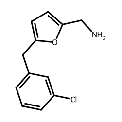 NCc1ccc(Cc2cccc(Cl)c2)o1